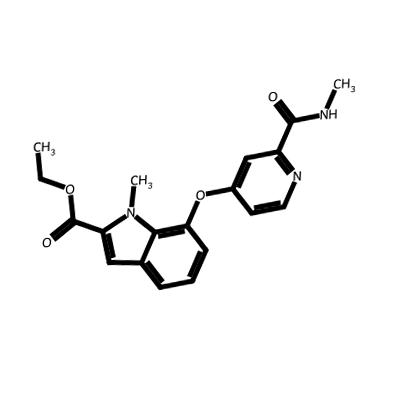 CCOC(=O)c1cc2cccc(Oc3ccnc(C(=O)NC)c3)c2n1C